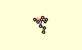 c1ccc(-c2cccc3cccc(-c4ccccc4CN(c4cccc(-c5cccc6c5sc5ccccc56)c4)c4ccc5c(c4)oc4ccccc45)c23)cc1